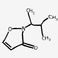 CC(C)C(C)n1occc1=O